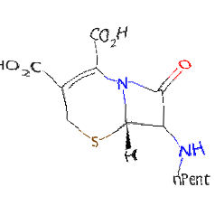 CCCCCNC1C(=O)N2C(C(=O)O)=C(C(=O)O)CS[C@@H]12